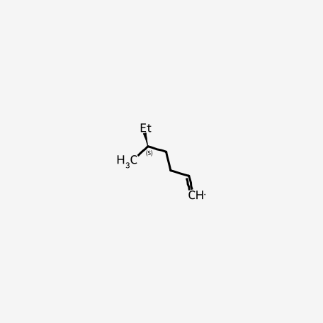 [CH]=CCC[C@@H](C)CC